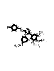 COc1ccc(-n2c(SCc3ccc(F)cc3)nnc2-c2cc(OC)c(OC)c(OC)c2)cc1